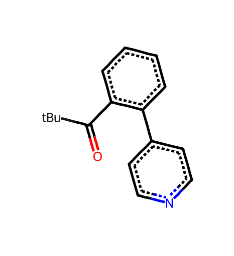 CC(C)(C)C(=O)c1ccccc1-c1ccncc1